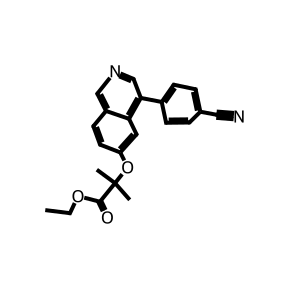 CCOC(=O)C(C)(C)Oc1ccc2cncc(-c3ccc(C#N)cc3)c2c1